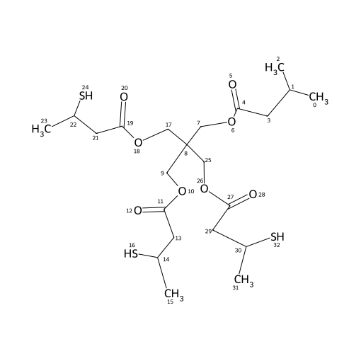 CC(C)CC(=O)OCC(COC(=O)CC(C)S)(COC(=O)CC(C)S)COC(=O)CC(C)S